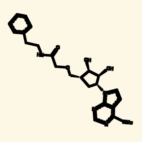 CNc1ncnc2c1ccn2[C@@H]1C[C@H](COCC(=O)NCCc2ccccc2)[C@@H](O)[C@H]1O